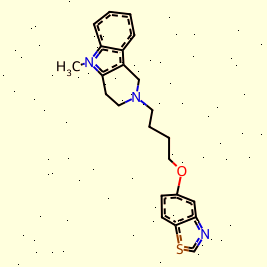 Cn1c2c(c3ccccc31)CN(CCCCOc1ccc3scnc3c1)CC2